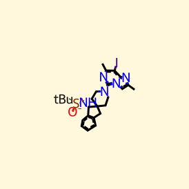 Cc1cn2c(N3CCC4(CC3)Cc3ccccc3[C@H]4N[S@+]([O-])C(C)(C)C)nc(C)c(I)c2n1